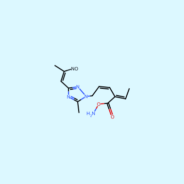 C/C=C(\C=C/Cn1nc(/C=C(/C)N=O)nc1C)C(=O)ON